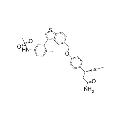 CC#C[C@@H](CC(N)=O)c1ccc(OCc2ccc3scc(-c4cc(NS(C)(=O)=O)ccc4C)c3c2)cc1